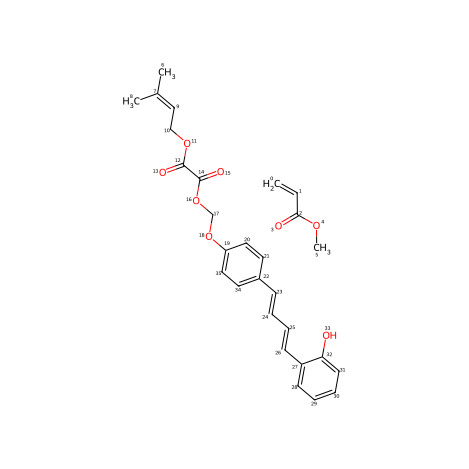 C=CC(=O)OC.CC(C)=CCOC(=O)C(=O)OCOc1ccc(C=CC=Cc2ccccc2O)cc1